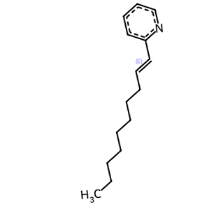 CCCCCCCC/C=C/c1ccccn1